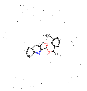 Cc1cccc(C(C)OC2OCc3cc4ccccc4nc32)c1